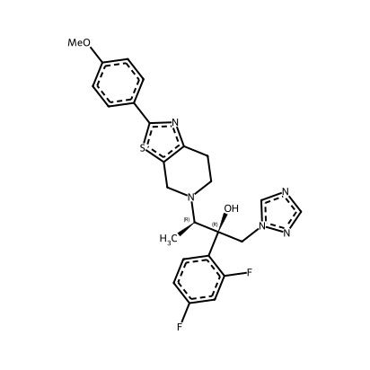 COc1ccc(-c2nc3c(s2)CN([C@H](C)[C@](O)(Cn2cncn2)c2ccc(F)cc2F)CC3)cc1